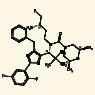 C[C@@H]1CN(C(=O)N(CC[C@H](N)CF)[C@@H](c2nc(-c3cc(F)ccc3F)nn2Cc2ccccc2)C(C)(C)C)C[C@H](C)O1